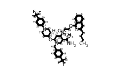 CCCCc1cc2ccccc2c(OCC[N+](C)(C)C2CC(OC3CCN(c4ccc(C(F)(F)F)cc4)CC3)N(Cc3ccc(C(F)(F)F)cc3)CC2C(N)=O)n1